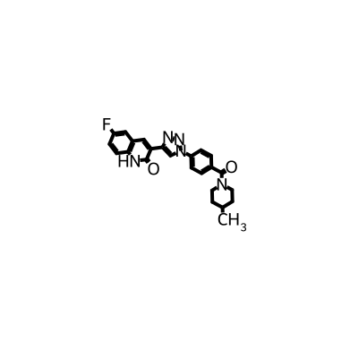 CC1CCN(C(=O)c2ccc(-n3cc(-c4cc5cc(F)ccc5[nH]c4=O)nn3)cc2)CC1